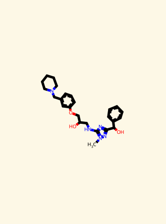 Cn1nc(C(O)c2ccccc2)nc1NCC(O)COc1cccc(CN2CCCCC2)c1